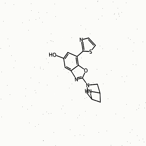 Oc1cc(-c2nccs2)c2oc(N3CC4CC(C3)N4)nc2c1